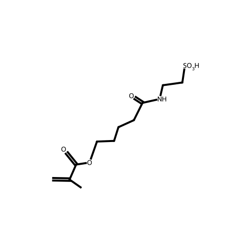 C=C(C)C(=O)OCCCCC(=O)NCCS(=O)(=O)O